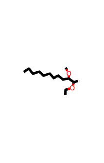 [CH2]C(OCC)C(CCCCCCCCC)OC